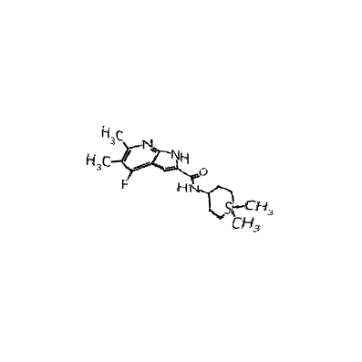 Cc1nc2[nH]c(C(=O)NC3CC[Si](C)(C)CC3)cc2c(F)c1C